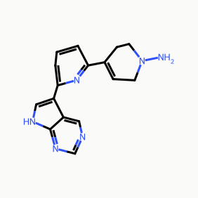 NN1CC=C(c2cccc(-c3c[nH]c4ncncc34)n2)CC1